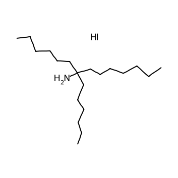 CCCCCCCC(N)(CCCCCC)CCCCCC.I